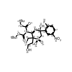 CC(C)(C)OC(=O)N(C(=O)OC(C)(C)C)C1=N[C@](C)(c2cc([N+](=O)[O-])ccc2F)CS(=O)(=O)C1(CF)CCO